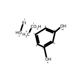 CC(=O)O.CCO.Oc1cccc(O)c1